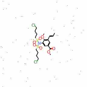 CC=Cc1cc(C(=O)OC)cc(N(S(=O)(=O)CCCCCl)S(=O)(=O)CCCCCl)c1OC